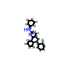 Fc1ccccc1C1Cc2cnc(Nc3ccccc3)nc2-c2ccccc21